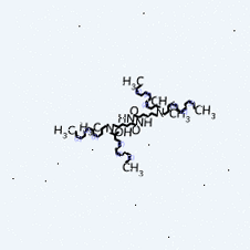 CC/C=C\C/C=C\C/C=C\CC(C)CN(CCCCC1NC(=O)C(CCCCN(CC(C)C/C=C\C/C=C\C/C=C\CC)CC(O)C/C=C\C/C=C\C/C=C\CC)NC1=O)CC(C)C/C=C\C/C=C\C/C=C\CC